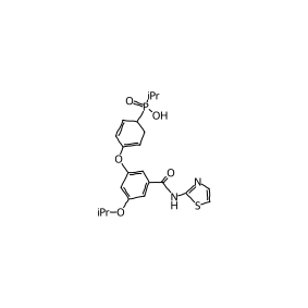 CC(C)Oc1cc(OC2=CCC(P(=O)(O)C(C)C)C=C2)cc(C(=O)Nc2nccs2)c1